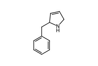 C1=CC(Cc2ccccc2)NC1